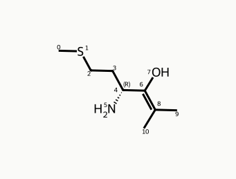 CSCC[C@@H](N)C(O)=C(C)C